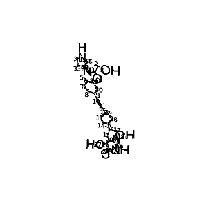 O=C(CO)N(Cc1ccc(C#Cc2ccc(C(CO)Cc3nc[nH]c(=O)c3O)cc2)cc1)[C@@H]1CCNC1